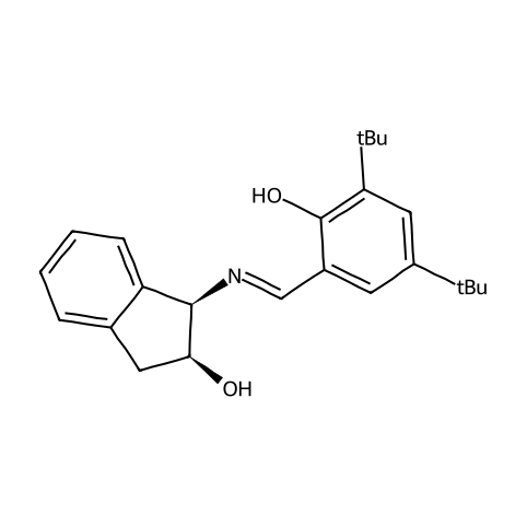 CC(C)(C)c1cc(C=N[C@@H]2c3ccccc3C[C@@H]2O)c(O)c(C(C)(C)C)c1